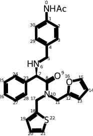 CC(=O)Nc1ccc(CN[C@@H](C(=O)N(Cc2ccco2)Cc2cccs2)c2ccccc2)cc1